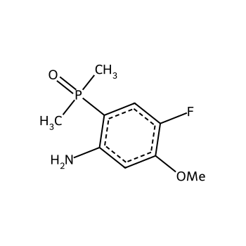 COc1cc(N)c(P(C)(C)=O)cc1F